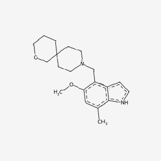 COc1cc(C)c2[nH]ccc2c1CN1CCC2(CCCOC2)CC1